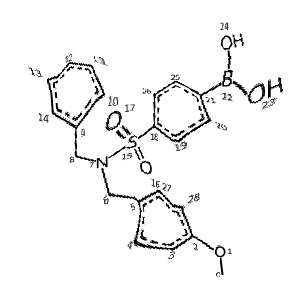 COc1ccc(CN(Cc2ccccc2)S(=O)(=O)c2ccc(B(O)O)cc2)cc1